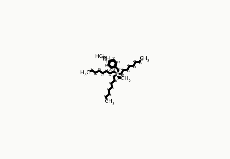 C=CP(CCCCCCCC)(CCCCCCCC)(CCCCCCCC)Cc1ccccc1.Cl.P